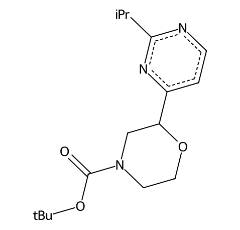 CC(C)c1nccc(C2CN(C(=O)OC(C)(C)C)CCO2)n1